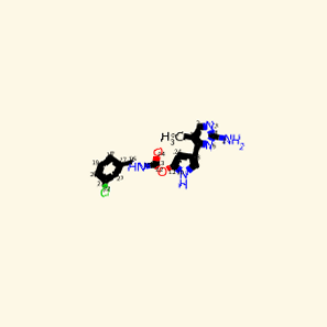 Cc1cnc(N)nc1-c1c[nH]c(OC(=O)NCc2cccc(Cl)c2)c1